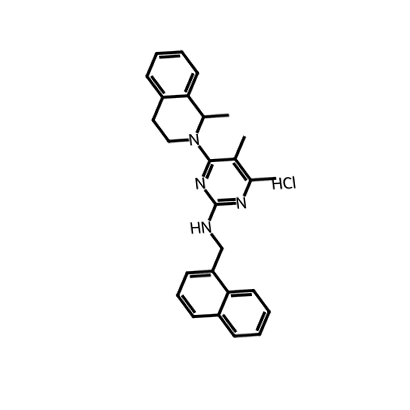 Cc1nc(NCc2cccc3ccccc23)nc(N2CCc3ccccc3C2C)c1C.Cl